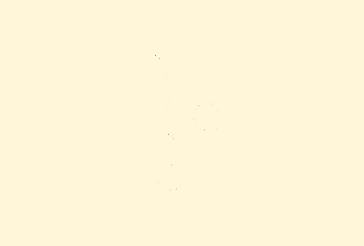 C/C(N)=C\C=C\C(NC(C)c1ccccc1)c1ccccc1